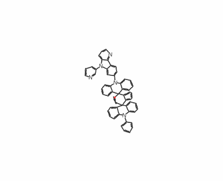 c1ccc(N2c3ccccc3C3(c4ccccc42)c2ccccc2C2(c4ccccc4N(c4ccc5c6ncccc6n(-c6cccnc6)c5c4)c4ccccc42)c2ccccc23)cc1